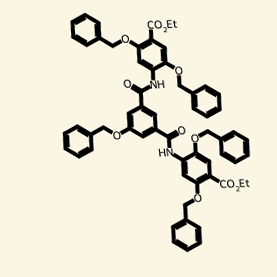 CCOC(=O)c1cc(OCc2ccccc2)c(NC(=O)c2cc(OCc3ccccc3)cc(C(=O)Nc3cc(OCc4ccccc4)c(C(=O)OCC)cc3OCc3ccccc3)c2)cc1OCc1ccccc1